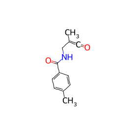 CC(=C=O)CNC(=O)c1ccc(C)cc1